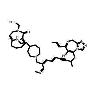 C/C=C/C1=NCc2nncn2C(SC(C)C#C/C=C/C=C(\C=N/C)CN2CCCC(CCN/C3=C\CN(CC=O)C(=O)/C(C)=C/CCC3)CC2)=C1CC